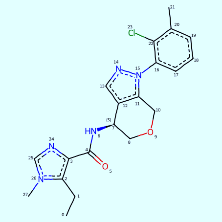 CCc1c(C(=O)N[C@@H]2COCc3c2cnn3-c2cccc(C)c2Cl)ncn1C